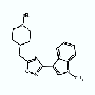 CCCCN1CCC(Cc2nc(-c3cn(C)c4ccccc34)no2)CC1